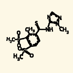 Cc1c(C(=S)Nc2ncnn2C)ccc(S(C)(=O)=O)c1S(C)(=O)=O